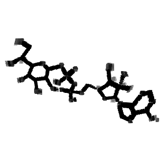 CC[C@@]1(F)[C@H](O)[C@@H](COP(=O)(S)OP(=O)(O)OC2OC([C@@H](O)CO)C(O)C(O)C2O)O[C@H]1n1cnc2c(N)ncnc21